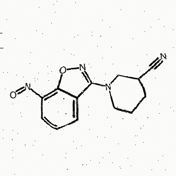 N#CC1CCCN(c2noc3c(N=O)cccc23)C1